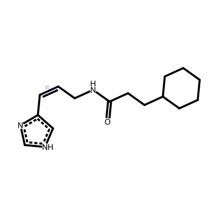 O=C(CCC1CCCCC1)NC/C=C\c1c[nH]cn1